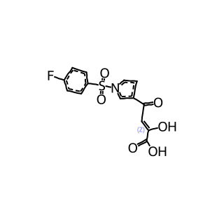 O=C(O)/C(O)=C/C(=O)c1ccn(S(=O)(=O)c2ccc(F)cc2)c1